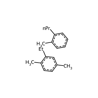 CCCc1ccccc1C.CCc1cc(C)ccc1C